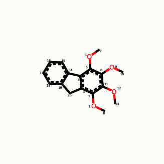 COc1c2c(c(OC)c(OC)c1OC)-c1ccccc1C2